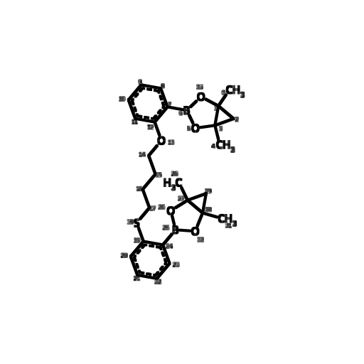 CC12CC1(C)OB(c1ccccc1OCCCCSc1ccccc1B1OC3(C)CC3(C)O1)O2